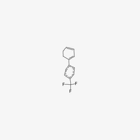 FC(F)(F)c1ccc(C2=CC=CCC2)cc1